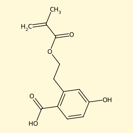 C=C(C)C(=O)OCCc1cc(O)ccc1C(=O)O